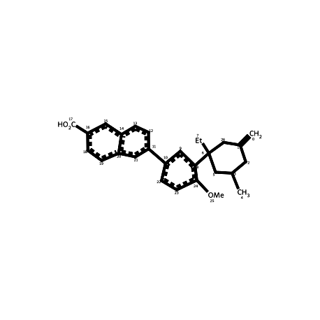 C=C1CC(C)CC(CC)(c2cc(-c3ccc4cc(C(=O)O)ccc4c3)ccc2OC)C1